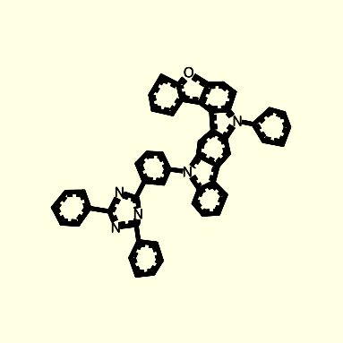 c1ccc(-c2nc(-c3ccccc3)nc(-c3cccc(-n4c5ccccc5c5cc6c(cc54)c4c5c(ccc4n6-c4ccccc4)oc4ccccc45)c3)n2)cc1